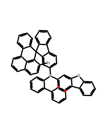 CCc1ccc2cccc3c2c1C1(c2ccccc2-c2ccc(N(c4ccc5c(c4)oc4ccccc45)c4ccccc4-c4ccccc4)cc21)c1ccccc1-3